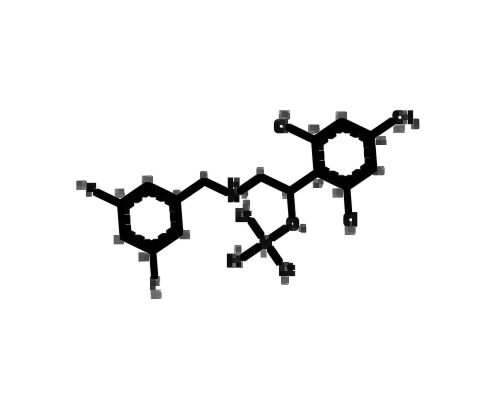 CC[Si](CC)(CC)OC(CNCc1cc(F)cc(F)c1)c1c(Cl)cc(C)cc1Cl